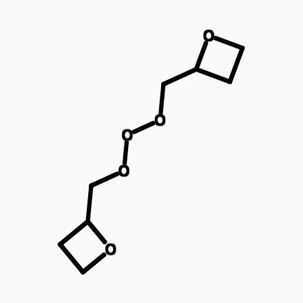 C1CC(COOOCC2CCO2)O1